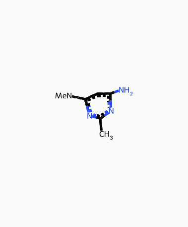 CNc1cc(N)nc(C)n1